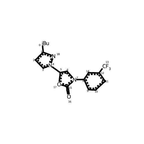 CCC(C)c1ccn(-c2cn(-c3cccc(C(F)(F)F)c3)c(=O)o2)n1